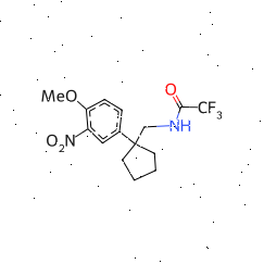 COc1ccc(C2(CNC(=O)C(F)(F)F)CCCC2)cc1[N+](=O)[O-]